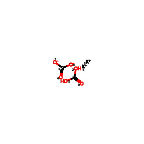 O=C(O)O.O=[Si]([O-])[O-].[K+].[K+]